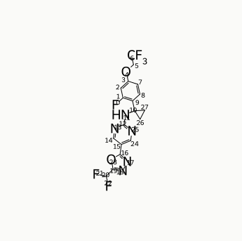 Fc1cc(OCC(F)(F)F)ccc1C1(Nc2ncc(-c3nnc(C(F)F)o3)cn2)CC1